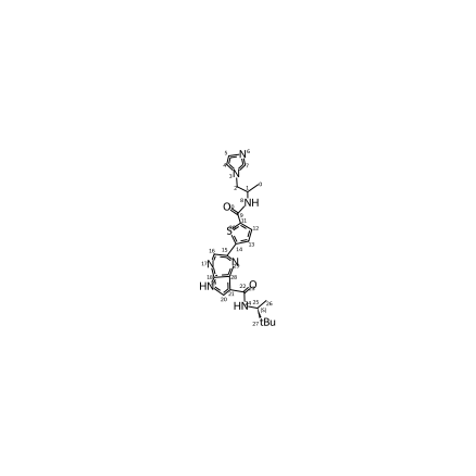 CC(Cn1ccnc1)NC(=O)c1ccc(-c2cnc3[nH]cc(C(=O)N[C@@H](C)C(C)(C)C)c3n2)s1